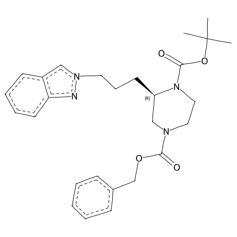 CC(C)(C)OC(=O)N1CCN(C(=O)OCc2ccccc2)C[C@H]1CCCn1cc2ccccc2n1